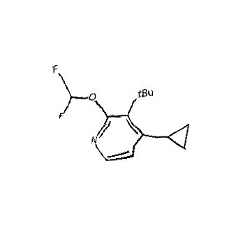 CC(C)(C)c1c(C2CC2)ccnc1OC(F)F